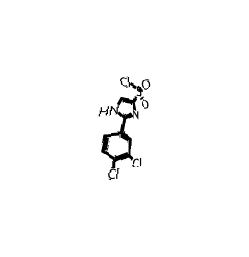 O=S(=O)(Cl)c1c[nH]c(-c2ccc(Cl)c(Cl)c2)n1